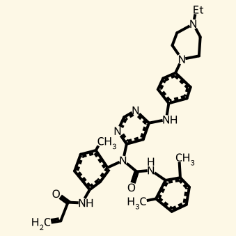 C=CC(=O)Nc1ccc(C)c(N(C(=O)Nc2c(C)cccc2C)c2cc(Nc3ccc(N4CCN(CC)CC4)cc3)ncn2)c1